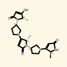 C[C@@H]1NC(=O)C=C1N1CC[C@H](N2C(=O)C=C(N3CC[C@H](N4C(=O)C=C(O)[C@@H]4C)C3)[C@@H]2C)C1